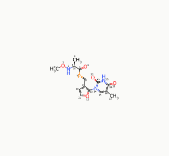 CON[C@@H](C)C(=O)P=Cc1ccoc1-n1cc(C)c(=O)[nH]c1=O